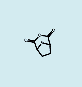 O=C1OC(=O)C2CCC1S2